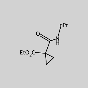 CCCNC(=O)C1(C(=O)OCC)CC1